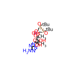 C[C@H](OP(=O)(OCCSC(=O)C(C)(C)C)OCCSC(=O)C(C)(C)C)[C@H]1O[C@@H](n2cnc3c(N)ncnc32)[C@](C)(O)[C@@H]1O